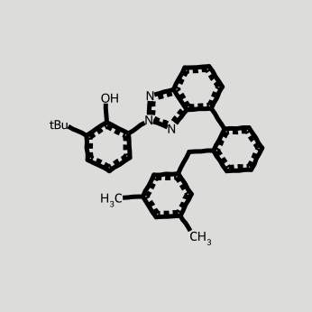 Cc1cc(C)cc(Cc2ccccc2-c2cccc3nn(-c4cccc(C(C)(C)C)c4O)nc23)c1